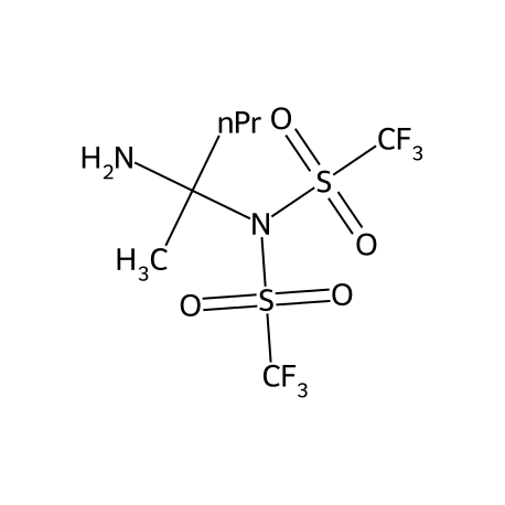 CCCC(C)(N)N(S(=O)(=O)C(F)(F)F)S(=O)(=O)C(F)(F)F